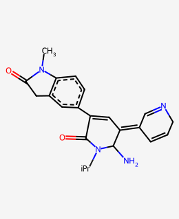 CC(C)N1C(=O)C(c2ccc3c(c2)CC(=O)N3C)=CC(=C2C=CCN=C2)C1N